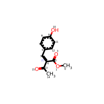 COC(=O)/C(=C\c1ccc(O)cc1)C(C)=O